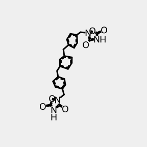 O=c1[nH]c(=O)n(Cc2ccc(Cc3cccc(Cc4ccc(Cn5oc(=O)[nH]c5=O)cc4)c3)cc2)o1